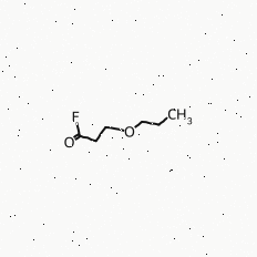 CCCOCCC(=O)F